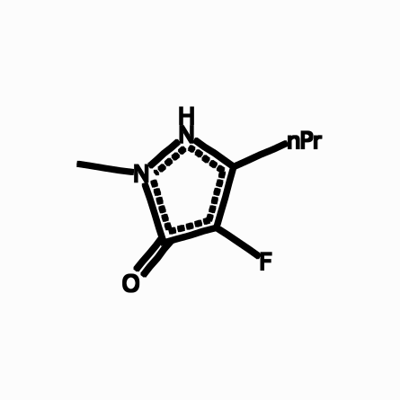 CCCc1[nH]n(C)c(=O)c1F